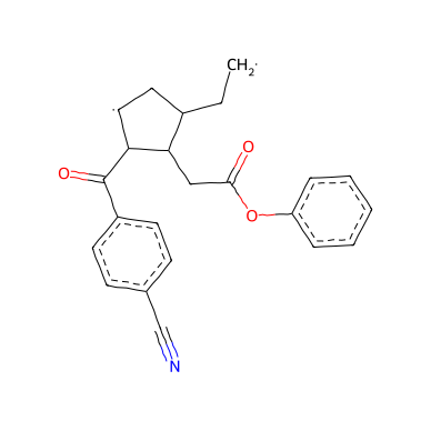 [CH2]CC1C[CH]C(C(=O)c2ccc(C#N)cc2)C1CC(=O)Oc1ccccc1